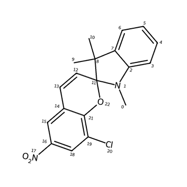 CN1c2ccccc2C(C)(C)C12C=Cc1cc([N+](=O)[O-])cc(Cl)c1O2